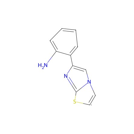 Nc1ccccc1-c1cn2c[c]sc2n1